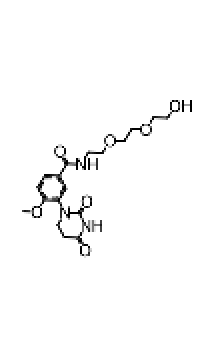 COc1ccc(C(=O)NCCOCCOCCO)cc1N1CCC(=O)NC1=O